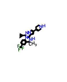 C[C@@H](Nc1nc(C2CC2)nn2cc(C3=CCNCC3)cc12)c1cccc(C(F)(F)F)c1